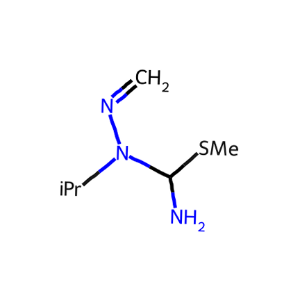 C=NN(C(C)C)C(N)SC